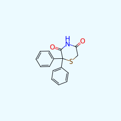 O=C1CSC(c2ccccc2)(c2ccccc2)C(=O)N1